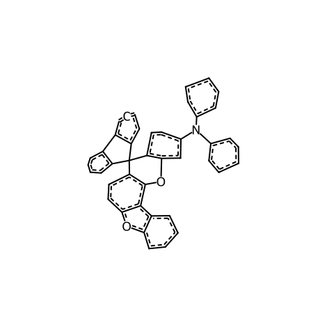 c1ccc(N(c2ccccc2)c2ccc3c(c2)Oc2c(ccc4oc5ccccc5c24)C32c3ccccc3-c3ccccc32)cc1